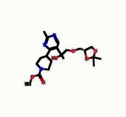 Cc1ncc(C(C)(O)COC[C@@H]2COC(C)(C)O2)c(C2CCN(C(=O)OC(C)(C)C)CC2)n1